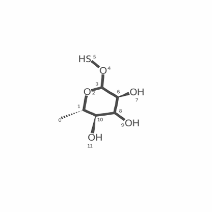 C[C@@H]1OC(OS)[C@@H](O)C(O)[C@H]1O